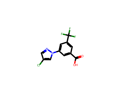 O=C(O)c1cc(-n2cc(Cl)cn2)cc(C(F)(F)F)c1